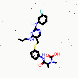 CCCNc1nc(Nc2cccc(F)c2)ncc1CSc1cccc(NC(=O)C(C)N(C)C(=O)O)c1